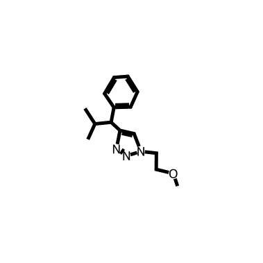 COCCn1cc(C(c2ccccc2)C(C)C)nn1